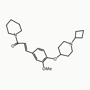 COc1cc(C=CC(=O)N2CCCCC2)ccc1OC1CCN(C2CCC2)CC1